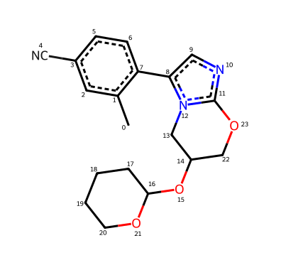 Cc1cc(C#N)ccc1-c1cnc2n1CC(OC1CCCCO1)CO2